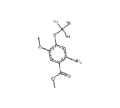 [2H]C([2H])([2H])Oc1cc(N)c(C(=O)OC)cc1OC